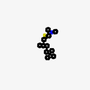 c1ccc(-n2c3ccccc3c3c4sc5ccc(-c6c7ccccc7cc7c(-c8cccc(C9(c%10ccccc%10)c%10ccccc%10-c%10ccccc%109)c8)cccc67)cc5c4ccc32)cc1